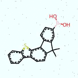 CC1(C)c2cc(B(O)O)ccc2-c2c1ccc1c2sc2ccccc21